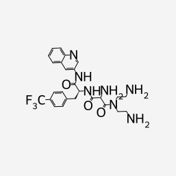 NCCN(CCN)C(=O)C(N)C(=O)N[C@@H](Cc1ccc(C(F)(F)F)cc1)C(=O)Nc1cnc2ccccc2c1